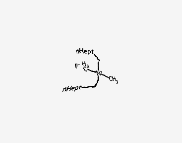 CCCCCCCC[N+](C)(C)CCCCCCCC.[F-]